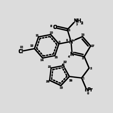 CCCC(CC1=N[N+](C(N)=O)(c2ccc(Cl)cc2)C=C1)c1cccs1